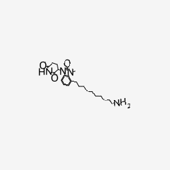 Cn1c(=O)n(C2CCC(=O)NC2=O)c2cccc(CCCCCCCCCCN)c21